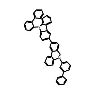 c1ccc(-c2cccc(N3Cc4ccc(-c5ccc6c(c5)c5ccccc5n6-c5ccccc5-c5ccccc5)cc4-c4ccccc43)c2)cc1